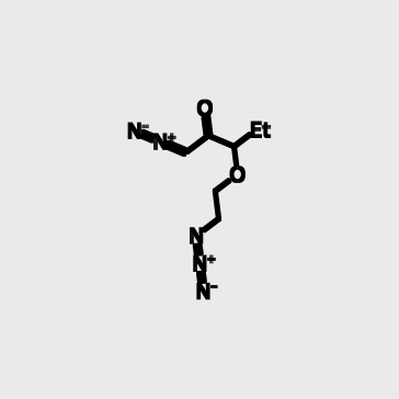 CCC(OCCN=[N+]=[N-])C(=O)C=[N+]=[N-]